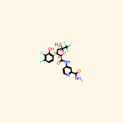 C[C@]1(C(F)(F)F)C[C@@H](c2ccc(F)c(F)c2O)[C@H](C(=O)Nc2ccnc(C(N)=O)c2)O1